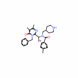 Cc1ccc(C(=O)N(CC2CCNCC2)C(c2nc(C)c(C)c(=O)n2Cc2ccccc2)C(C)C)cc1